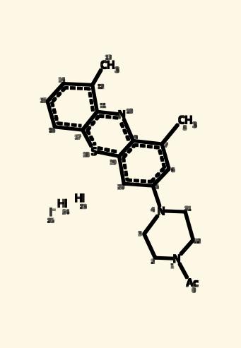 CC(=O)N1CCN(c2cc(C)c3nc4c(C)cccc4[s+]c3c2)CC1.I.I.[I-]